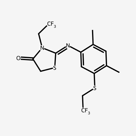 Cc1cc(C)c(SCC(F)(F)F)cc1/N=C1\SCC(=O)N1CC(F)(F)F